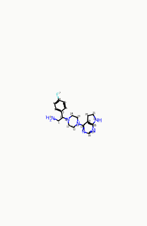 NCC(c1ccc(F)cc1)N1CCN(c2ncnc3c2CCN3)CC1